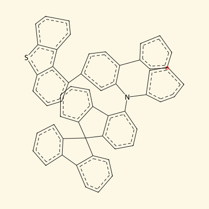 c1ccc(-c2ccc(-c3cccc4sc5ccccc5c34)cc2N(c2ccccc2)c2cccc3c2-c2ccccc2C32c3ccccc3-c3ccccc32)cc1